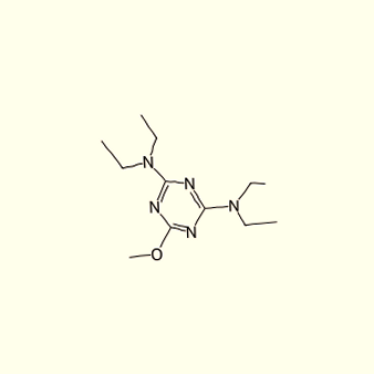 CCN(CC)c1nc(OC)nc(N(CC)CC)n1